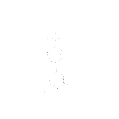 O=S(=O)(Cl)c1ccc(-c2cc(Cl)cc(Cl)c2)cc1